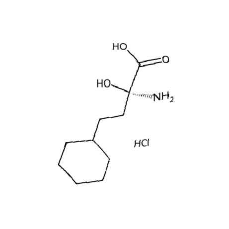 Cl.N[C@@](O)(CCC1CCCCC1)C(=O)O